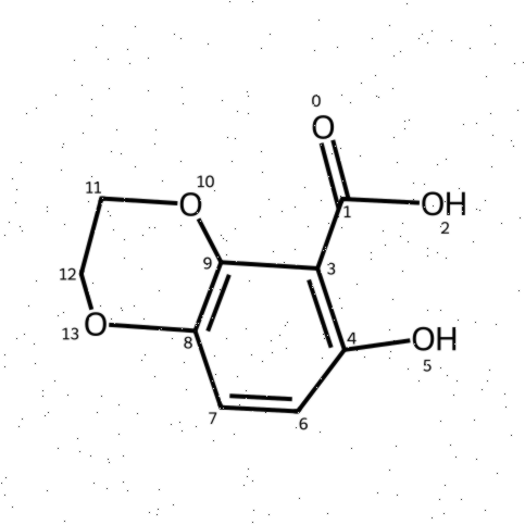 O=C(O)c1c(O)ccc2c1OCCO2